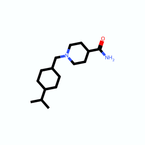 CC(C)C1CCC(CN2CCC(C(N)=O)CC2)CC1